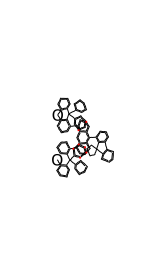 c1ccc(C2(c3ccccc3)c3ccccc3Oc3cccc(-c4cccc5c(-c6cccc7c6C6(CCCC6)c6ccccc6-7)c6cccc(-c7cccc8c7C(c7ccccc7)(c7ccccc7)c7ccccc7O8)c6cc45)c32)cc1